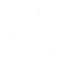 C[C@H](NP(=O)(Oc1ccc(N(C)C)cc1)Oc1ccc([N+](=O)[O-])cc1)C(=O)O